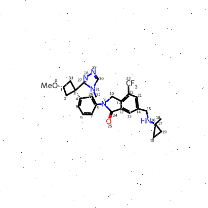 CO[C@H]1C[C@](c2cccc(N3Cc4c(cc(CNC5(C)CC5)cc4C(F)(F)F)C3=O)c2)(c2nncn2C)C1